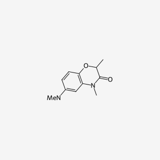 CNc1ccc2c(c1)N(C)C(=O)C(C)O2